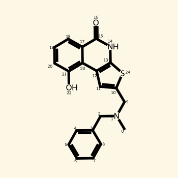 CN(Cc1ccccc1)Cc1cc2c([nH]c(=O)c3cccc(O)c32)s1